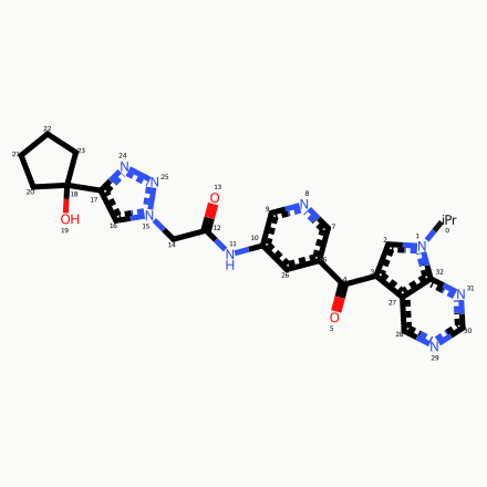 CC(C)n1cc(C(=O)c2cncc(NC(=O)Cn3cc(C4(O)CCCC4)nn3)c2)c2cncnc21